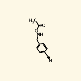 CC(=O)ONCc1ccc(C#N)cc1